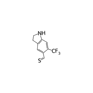 FC(F)(F)c1cc2c(cc1C=S)CCN2